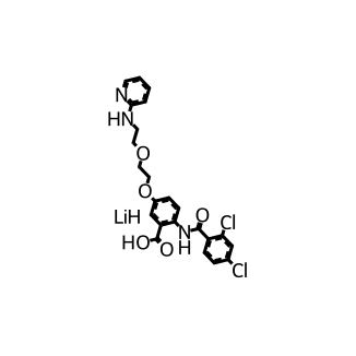 O=C(Nc1ccc(OCCOCCNc2ccccn2)cc1C(=O)O)c1ccc(Cl)cc1Cl.[LiH]